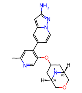 Cc1cc(-c2ccn3nc(N)cc3c2)c(OC2C[C@H]3COC[C@@H](C2)N3C)cn1